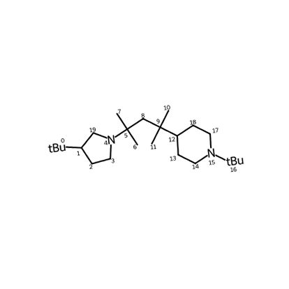 CC(C)(C)C1CCN(C(C)(C)CC(C)(C)C2CCN(C(C)(C)C)CC2)C1